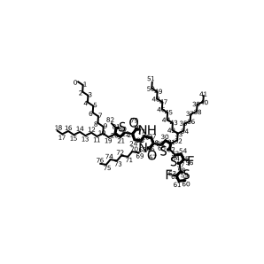 CCCCCCCCCCC(CCCCCCCC)Cc1cc(-c2cc3c(cc(-c4cc(CC(CCCCCCCC)CCCCCCCCCC)c(-c5cc(F)c(-c6sccc6F)s5)s4)c(=O)n3CCCCCCCC)[nH]c2=O)sc1C